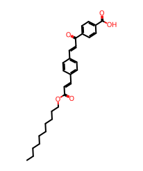 CCCCCCCCCCOC(=O)C=Cc1ccc(C=CC(=O)c2ccc(C(=O)O)cc2)cc1